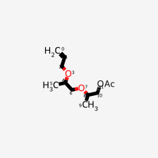 C=CCOC(C)COC(C)COC(C)=O